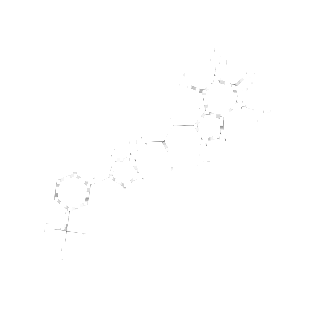 Cn1nc2c(c1CC(=O)Nn1ncc(-c3cccc(C(F)(F)F)c3)n1)c(=O)n(C)c(=O)n2C